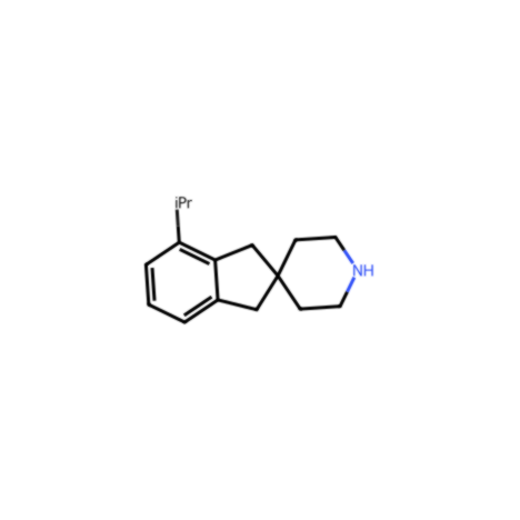 CC(C)c1cccc2c1CC1(CCNCC1)C2